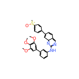 COc1cc(-c2cccc(Nc3ncc4ccc(-c5ccc([S+](C)[O-])cc5)cc4n3)c2)cc(OC)c1OC